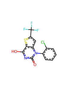 O=c1nc(O)c2sc(C(F)(F)F)cc2n1-c1ccccc1Cl